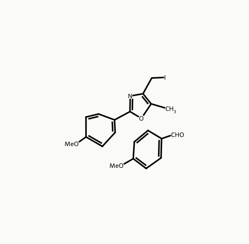 COc1ccc(-c2nc(CI)c(C)o2)cc1.COc1ccc(C=O)cc1